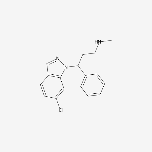 CNCCC(c1ccccc1)n1ncc2ccc(Cl)cc21